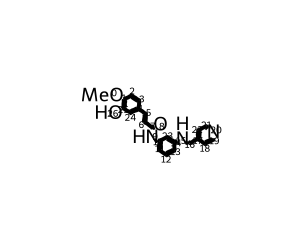 COc1ccc(/C=C/C(=O)Nc2cccc(NCc3ccncc3)c2)cc1O